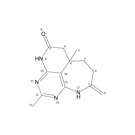 C=C1CCC2(C)CC(=O)Nc3nc(C)nc(c32)N1